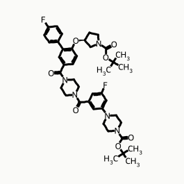 CC(C)(C)OC(=O)N1CCN(c2cc(F)cc(C(=O)N3CCN(C(=O)c4ccc(O[C@H]5CCN(C(=O)OC(C)(C)C)C5)c(-c5ccc(F)cc5)c4)CC3)c2)CC1